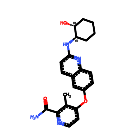 Cc1c(Oc2ccc3nc(N[C@@H]4CCCC[C@H]4O)ccc3c2)ccnc1C(N)=O